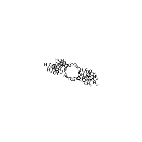 COC(=O)C(C)(C)NC(=O)C(CC(C)C)NC(=O)C(C)NC(=O)c1ccc2c(c1)OCCOCCOCCOc1ccc(C(=O)NC(C)C(=O)NC(CC(C)C)C(=O)NC(C)(C)C(=O)OC)cc1OCCOCCOCCO2